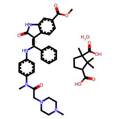 CC1(C(=O)O)CCC(C(=O)O)C1(C)C.COC(=O)c1ccc2c(c1)NC(=O)/C2=C(\Nc1ccc(N(C)C(=O)CN2CCN(C)CC2)cc1)c1ccccc1.O